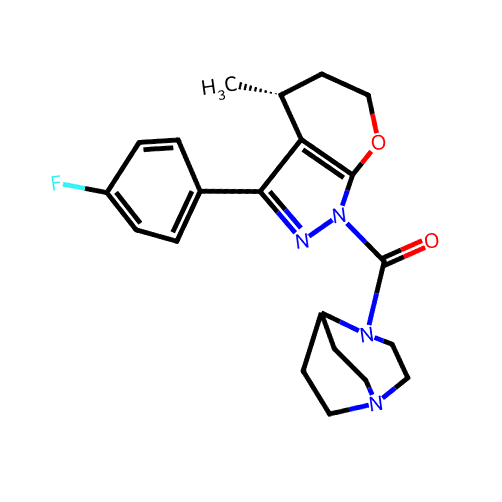 C[C@@H]1CCOc2c1c(-c1ccc(F)cc1)nn2C(=O)N1CCN2CCC1CC2